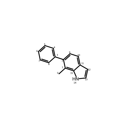 Cc1c(-c2ccccc2)ccc2cc[nH]c12